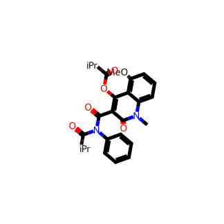 COc1cccc2c1c(OC(=O)C(C)C)c(C(=O)N(C(=O)C(C)C)c1ccccc1)c(=O)n2C